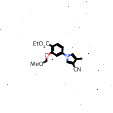 CCOC(=O)c1ccc(-n2cc(C)c(C#N)c2)cc1OCOC